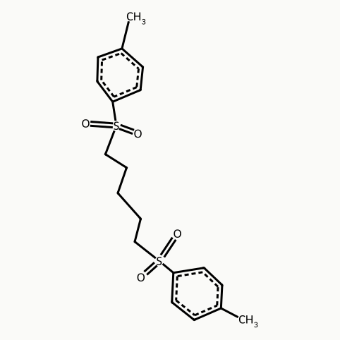 Cc1ccc(S(=O)(=O)CCCCCS(=O)(=O)c2ccc(C)cc2)cc1